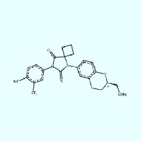 COC[C@H]1CSc2cc(N3C(=S)N(c4ccc(C#N)c(C(F)(F)F)c4)C(=O)C34CCC4)ccc2O1